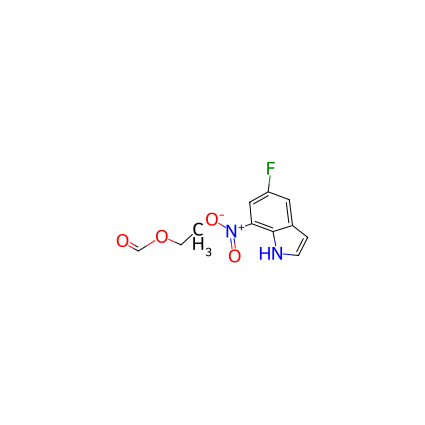 CCOC=O.O=[N+]([O-])c1cc(F)cc2cc[nH]c12